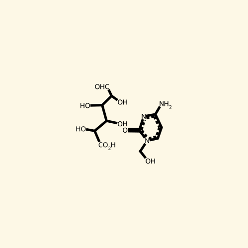 Nc1ccn(CO)c(=O)n1.O=CC(O)C(O)C(O)C(O)C(=O)O